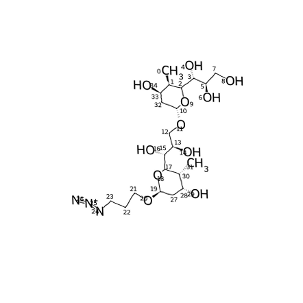 C[C@H]1C([C@H](O)[C@H](O)CO)O[C@H](OC[C@@H](O)[C@@H](O)C2O[C@H](OCCCN=[N+]=[N-])C[C@@H](O)[C@H]2C)C[C@H]1O